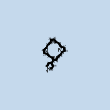 C[n+]1ccc(C2=CC3=CC4=NC(=CC5=NC(=CC6=NC(=CC2=N3)C=C6)C=C5)C=C4)cc1